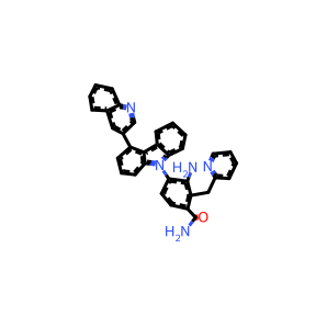 NC(=O)c1ccc(-n2c3ccccc3c3c(-c4cnc5ccccc5c4)cccc32)c(N)c1Cc1ccccn1